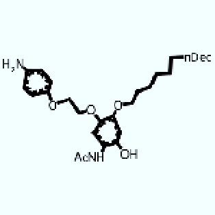 CCCCCCCCCCCCCCCCOc1cc(O)c(NC(C)=O)cc1OCCOc1ccc(N)cc1